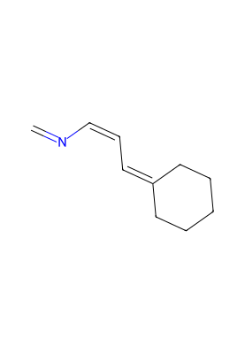 C=N/C=C\C=C1CCCCC1